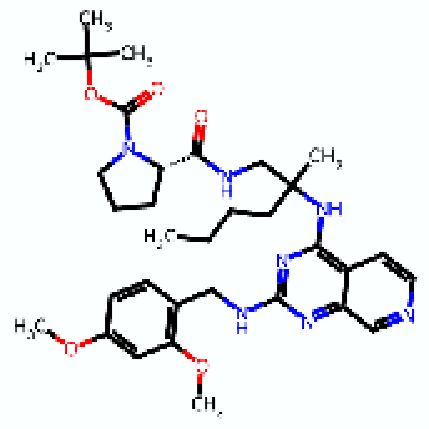 CCCCC(C)(CNC(=O)[C@@H]1CCCN1C(=O)OC(C)(C)C)Nc1nc(NCc2ccc(OC)cc2OC)nc2cnccc12